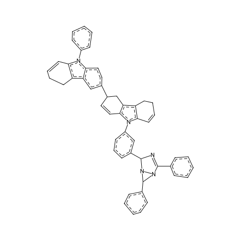 C1=Cc2c(c3c(n2-c2cccc(C4N=C(c5ccccc5)N5C(c6ccccc6)N45)c2)C=CC(c2ccc4c(c2)c2c(n4-c4ccccc4)C=CCC2)C3)CC1